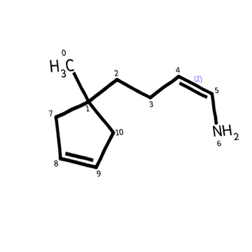 CC1(CC/C=C\N)CC=CC1